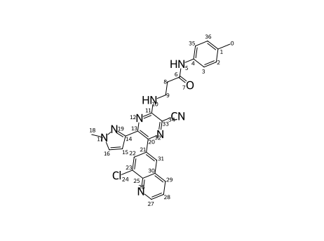 Cc1ccc(NC(=O)CCNc2nc(-c3ccn(C)n3)c(-c3cc(Cl)c4ncccc4c3)nc2C#N)cc1